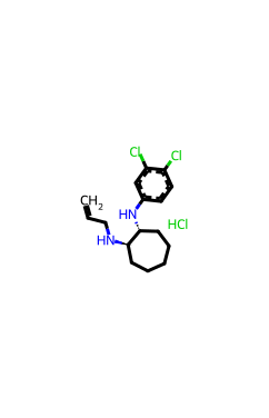 C=CCN[C@@H]1CCCCC[C@H]1Nc1ccc(Cl)c(Cl)c1.Cl